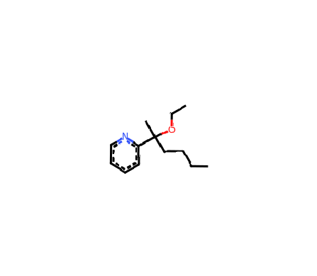 CCCCC(C)(OCC)c1ccccn1